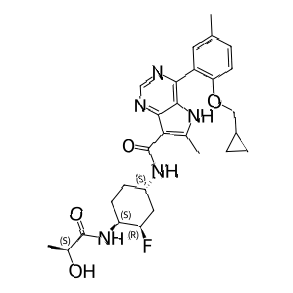 Cc1ccc(OCC2CC2)c(-c2ncnc3c(C(=O)N[C@H]4CC[C@H](NC(=O)[C@H](C)O)[C@H](F)C4)c(C)[nH]c23)c1